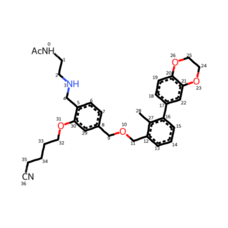 CC(=O)NCCNCc1ccc(COCc2cccc(-c3ccc4c(c3)OCCO4)c2C)cc1OCCCCC#N